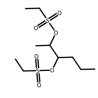 CCCC(OS(=O)(=O)CC)C(C)OS(=O)(=O)CC